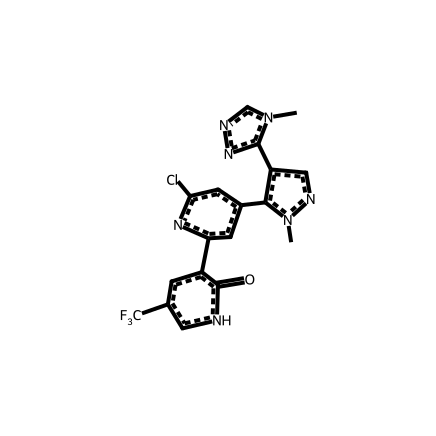 Cn1cnnc1-c1cnn(C)c1-c1cc(Cl)nc(-c2cc(C(F)(F)F)c[nH]c2=O)c1